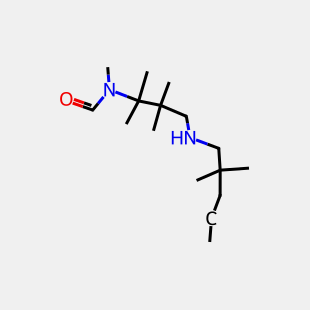 CCCC(C)(C)CNCC(C)(C)C(C)(C)N(C)C=O